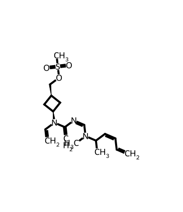 C=C/C=C\C(C)N(C)/C=N\C(=C)N(C=C)[C@H]1C[C@@H](COS(C)(=O)=O)C1